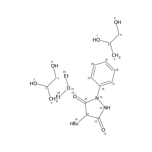 CC(O)CO.CC(O)CO.CCCCC1C(=O)NN(c2ccccc2)C1=O.CCOCC